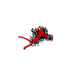 CCCCCCCCCCCCC/C=C/[C@@H](O)[C@H](CO[C@@H]1OC(CO)[C@@H](O[C@@H]2OC(CO)[C@H](O[C@@H]3OC(CO)[C@H](O)[C@H](O[C@@H]4OC(CO)[C@H](O[C@@H]5OC(CO)[C@H](O)[C@H](O[C@@H]6OC(CO)[C@H](O)[C@H](O)C6O)C5NC(C)=O)[C@H](O[C@]5(C(=O)O)CC(O)[C@@H](NC(C)=O)C([C@H](O)[C@H](O)CO)O5)C4O)C3NC(C)=O)[C@H](O)C2O)[C@H](O)C1O)NC(=O)CCCCCCCCCCCCCCC